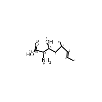 C/C=C/C(C)C[C@H](O)[C@@H](N)C(=O)O